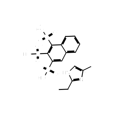 CCc1nc(C)c[nH]1.O=S(=O)(O)c1cc2ccccc2c(S(=O)(=O)O)c1S(=O)(=O)O